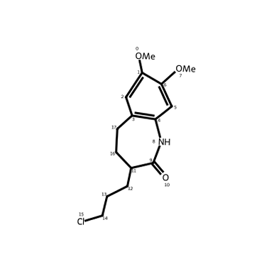 COc1cc2c(cc1OC)NC(=O)C(CCCCl)CC2